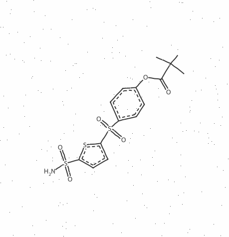 CC(C)(C)C(=O)Oc1ccc(S(=O)(=O)c2ccc(S(N)(=O)=O)s2)cc1